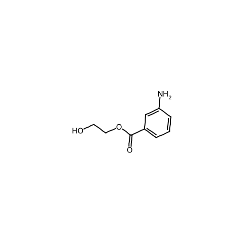 Nc1cccc(C(=O)OCCO)c1